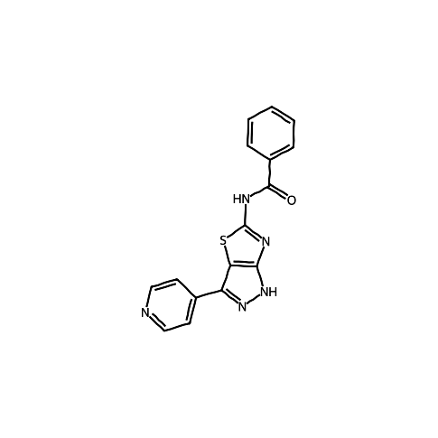 O=C(Nc1nc2[nH]nc(-c3ccncc3)c2s1)c1ccccc1